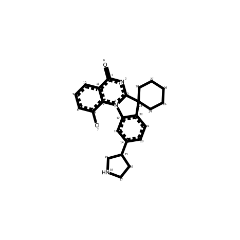 O=c1nc2n(c3c(Cl)cccc13)-c1cc(C3CCNC3)ccc1C21CCCCC1